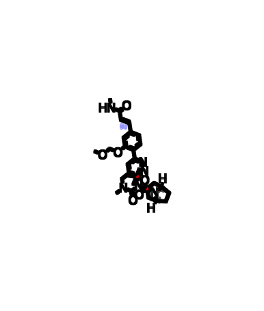 CNC(=O)/C=C/c1ccc(-c2cc3c(nn2)N(C2C[C@H]4CC[C@@H](C2)N4C(=O)OC(C)(C)C)C(=O)N(C)C3)c(OCOC)c1